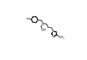 Cc1cn(CCCN(CO)Cc2ccc(F)cc2)cn1